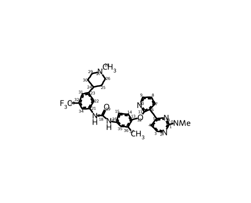 CNc1nccc(-c2cccnc2Oc2ccc(NC(=O)Nc3cc(C4CCN(C)CC4)cc(C(F)(F)F)c3)cc2C)n1